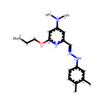 CCCN(CCC)c1cc(/C=N/Nc2ccc(C)c(C)c2)nc(OCCNC)c1